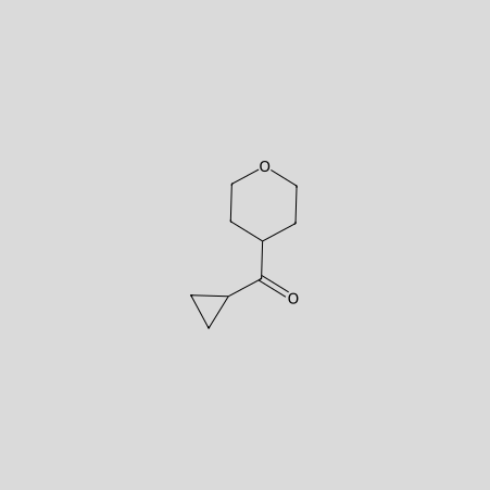 O=C(C1CCOCC1)C1CC1